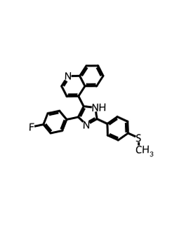 CSc1ccc(-c2nc(-c3ccc(F)cc3)c(-c3ccnc4ccccc34)[nH]2)cc1